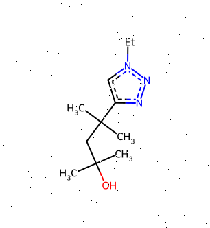 CCn1cc(C(C)(C)CC(C)(C)O)nn1